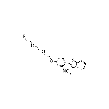 O=[N+]([O-])c1cc(OCCOCCOCCF)ccc1-c1cc2ccccc2s1